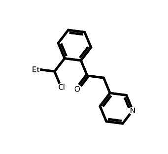 CCC(Cl)c1ccccc1C(=O)Cc1cccnc1